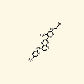 FC(F)(F)c1ccc(Nc2ccnc3nc(-c4nnc(NCC5CC5)cc4C(F)(F)F)cnc23)nc1